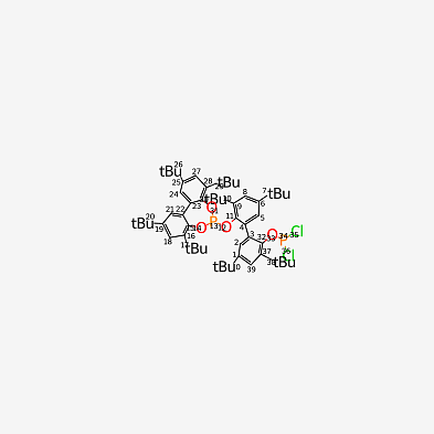 CC(C)(C)c1cc(-c2cc(C(C)(C)C)cc(C(C)(C)C)c2Op2oc3c(C(C)(C)C)cc(C(C)(C)C)cc3c3cc(C(C)(C)C)cc(C(C)(C)C)c3o2)c(OP(Cl)Cl)c(C(C)(C)C)c1